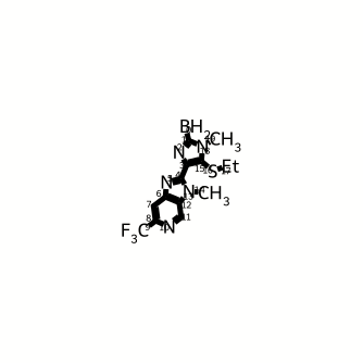 Bc1nc(-c2nc3cc(C(F)(F)F)ncc3n2C)c(SCC)n1C